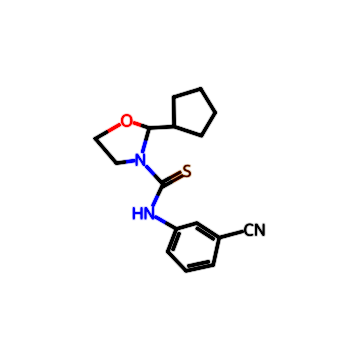 N#Cc1cccc(NC(=S)N2CCOC2C2CCCC2)c1